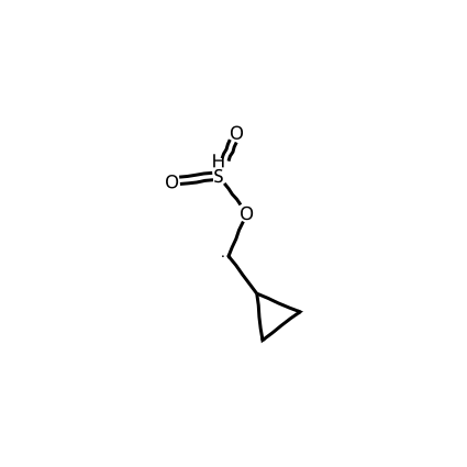 O=[SH](=O)O[CH]C1CC1